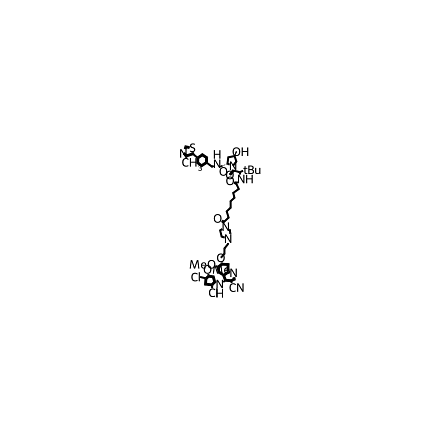 COc1cc(Nc2c(C#N)cnc3cc(OCCCN4CCN(C(=O)CCCCCCCC(=O)NC(C(=O)N5C[C@H](O)C[C@H]5C(=O)NCc5ccc(-c6scnc6C)cc5)C(C)(C)C)CC4)c(OC)cc23)c(Cl)cc1Cl